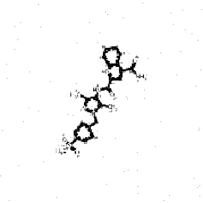 Cc1nn(Cc2ccc(S(C)(=O)=O)cc2)c(C)c1NC(=O)c1cc(C(N)=O)c2ccccc2n1